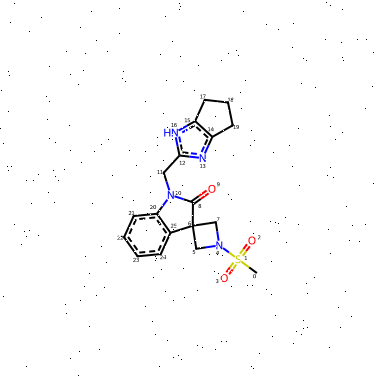 CS(=O)(=O)N1CC2(C1)C(=O)N(Cc1nc3c([nH]1)CCC3)c1ccccc12